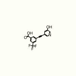 O=C(O)c1cc(C#Cc2cncc(O)c2)cc(C(F)(F)F)c1